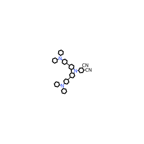 N#Cc1ccc(-n2c3ccc(-c4ccc(N(c5ccccc5)c5ccccc5)cc4)cc3c3cc(-c4ccc(N(c5ccccc5)c5ccccc5)cc4)ccc32)cc1C#N